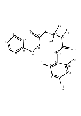 CCC(C(=O)Nc1c(C)cc(Cl)cc1C)[PH](C)(C)CC(=O)OCc1ccccc1